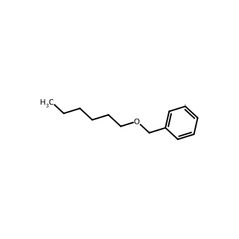 CCCCCCOCc1c[c]ccc1